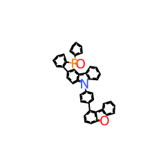 O=P1(c2ccccc2)c2ccccc2-c2ccc3c(c21)c1ccccc1n3-c1ccc(-c2cccc3oc4ccccc4c23)cc1